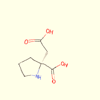 O=C(O)C[C@@]1(C(=O)O)CCCN1